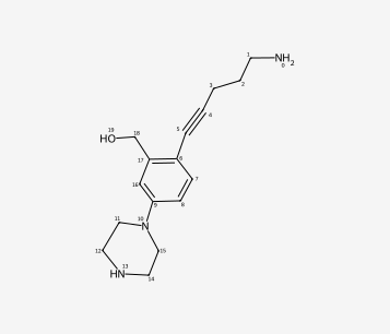 NCCCC#Cc1ccc(N2CCNCC2)cc1CO